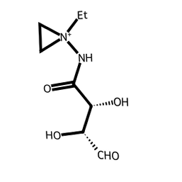 [CH2]C[N+]1(NC(=O)[C@H](O)[C@@H](O)C=O)CC1